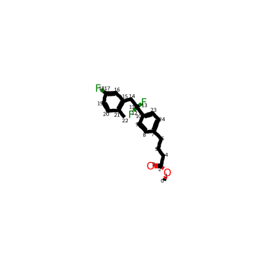 COC(=O)CCCc1ccc(C(F)(F)Cc2cc(F)ccc2C)cc1